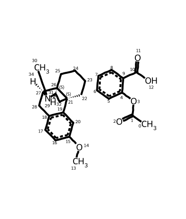 CC(=O)Oc1ccccc1C(=O)O.COc1ccc2c(c1)[C@]13CCCC[C@@H]1[C@H](C2)N(C)CC3